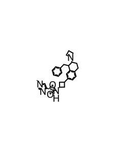 Cn1cnc(S(=O)(=O)NC2CC(c3ccc4c(c3)C(Cc3ccccc3)C(N3CCC3)CC4)C2)c1